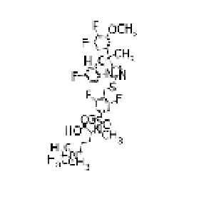 COc1cc(C(C)(C)c2cnc(SCc3c(F)cc(S(=O)(=O)N(C)C(CCC[N+](C)(C)C)C(=O)O)cc3F)n2-c2ccc(F)cc2)cc(F)c1F